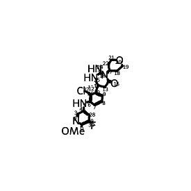 COc1ncc(Nc2cccc([C@]3(C)CC(=O)N(C4CCOCC4)C(=N)N3)c2Cl)cc1F